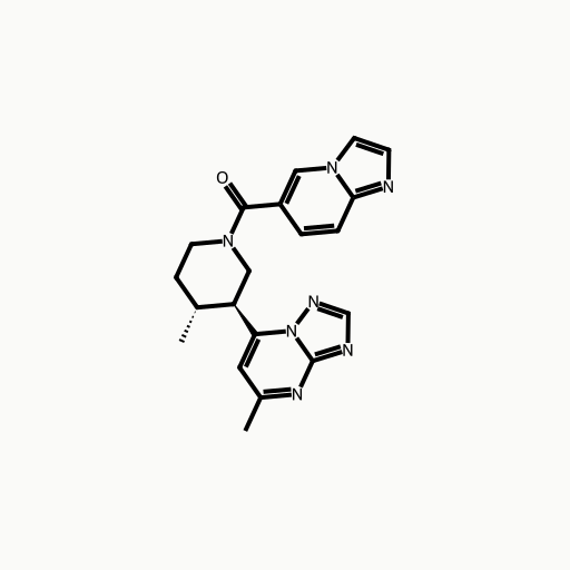 Cc1cc([C@@H]2CN(C(=O)c3ccc4nccn4c3)CC[C@H]2C)n2ncnc2n1